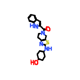 O=C(c1cc2ccccc2[nH]1)N1CCc2nc(NC3CCC(O)CC3)sc2C1